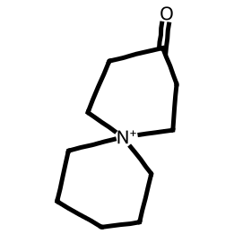 O=C1CC[N+]2(CCCCC2)CC1